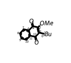 CCC(C)C1=C(OC)C(=O)c2ccccc2C1=O